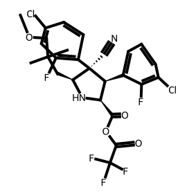 COCC(C)(C)C[C@@H]1N[C@H](C(=O)OC(=O)C(F)(F)F)[C@H](c2cccc(Cl)c2F)[C@]1(C#N)c1ccc(Cl)cc1F